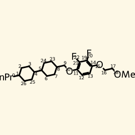 CCCC1CCC(C2CCC(COc3ccc(OCCOC)c(F)c3F)CC2)CC1